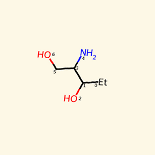 [CH2]CC(O)C(N)CO